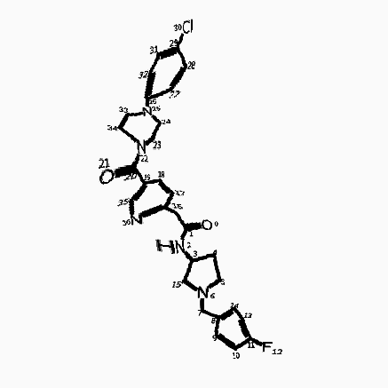 O=C(NC1CCN(Cc2ccc(F)cc2)C1)c1ccc(C(=O)N2CCN(c3ccc(Cl)cc3)CC2)cn1